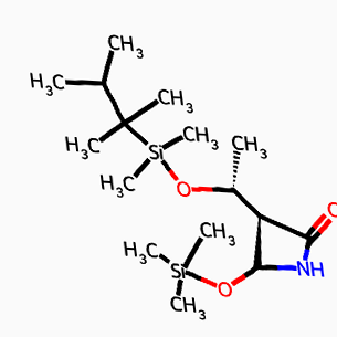 CC(C)C(C)(C)[Si](C)(C)O[C@H](C)[C@H]1C(=O)NC1O[Si](C)(C)C